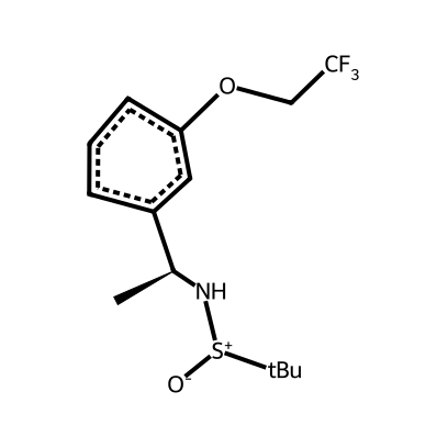 C[C@H](N[S+]([O-])C(C)(C)C)c1cccc(OCC(F)(F)F)c1